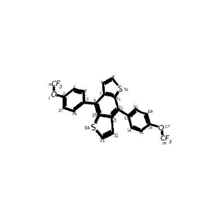 FC(F)(F)Oc1ccc(-c2c3ccsc3c(-c3ccc(OC(F)(F)F)cc3)c3ccsc23)cc1